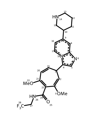 COC1=CC(c2cnc3cc(C4CCCNC4)ccn23)C=CC(OC)=C1C(=O)NCC(F)(F)F